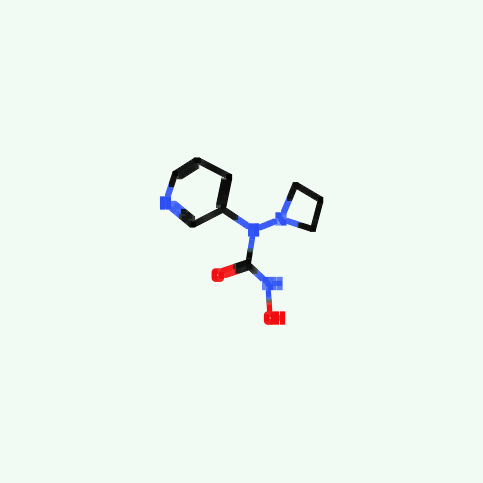 O=C(NO)N(c1cccnc1)N1CCC1